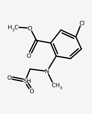 COC(=O)c1cc(Cl)ccc1N(C)C[SH](=O)=O